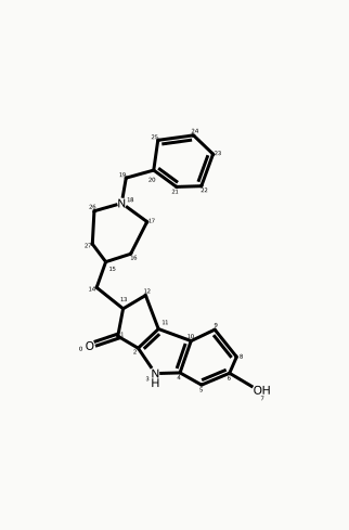 O=C1c2[nH]c3cc(O)ccc3c2CC1CC1CCN(Cc2ccccc2)CC1